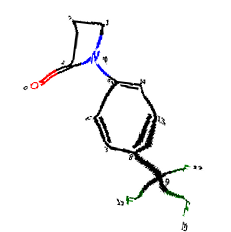 O=C1CCN1c1ccc(C(F)(F)F)cc1